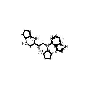 OCC(NC1CCCC1)C(O)CN(c1ncnc2[nH]ccc12)C1CCCC1